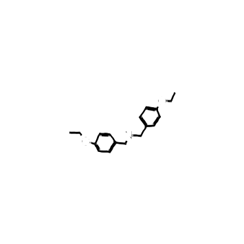 CCOc1ccc(C[N]Cc2ccc(OCC)cc2)cc1